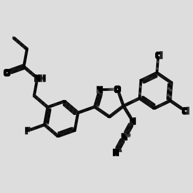 CCC(=O)NCc1cc(C2=NOC(N=[N+]=[N-])(c3cc(Cl)cc(Cl)c3)C2)ccc1F